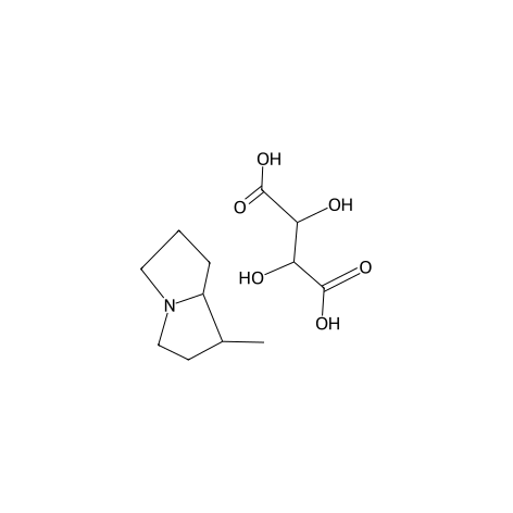 CC1CCN2CCCC12.O=C(O)C(O)C(O)C(=O)O